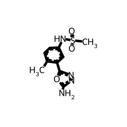 Cc1ccc(NS(C)(=O)=O)cc1-c1nnc(N)o1